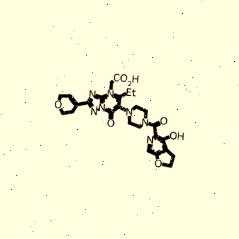 CCc1c(N2CCN(C(=O)c3ncc4c(c3O)CCO4)CC2)c(=O)n2nc(C3=CCOCC3)nc2n1CC(=O)O